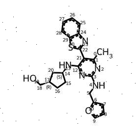 Cc1nc(NCc2ccco2)nc(N[C@H]2CC[C@@H](CO)C2)c1-c1nc2ccccc2s1